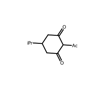 CC(=O)C1C(=O)CC(C(C)C)CC1=O